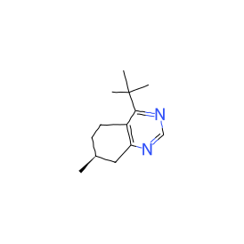 C[C@H]1CCc2c(ncnc2C(C)(C)C)C1